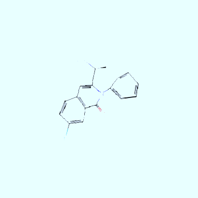 C[C@H](N)c1cc2ccc(F)cc2c(=O)n1-c1ccccc1